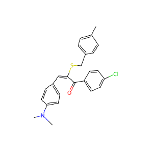 Cc1ccc(CSC(=Cc2ccc(N(C)C)cc2)C(=O)c2ccc(Cl)cc2)cc1